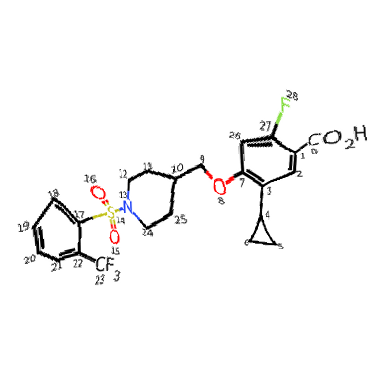 O=C(O)c1cc(C2CC2)c(OCC2CCN(S(=O)(=O)c3ccccc3C(F)(F)F)CC2)cc1F